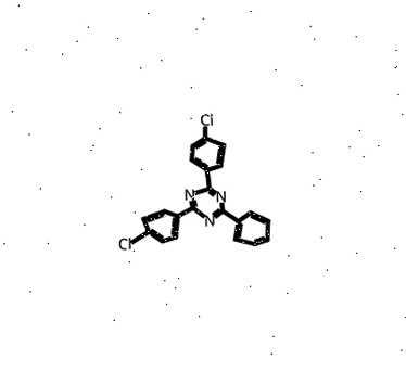 Clc1ccc(-c2nc(-c3ccccc3)nc(-c3ccc(Cl)cc3)n2)cc1